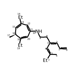 C=C/C=C(\C=C(/C)CC)CCNC1=CC(CC)=C[C@H](C)C(CC)=C1